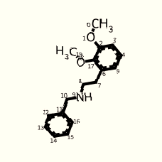 COc1cccc(CCNCc2ccccc2)c1OC